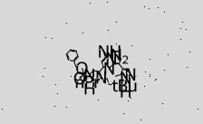 CCCN(CCC(C)(C)C)C(CNC(=O)OCc1ccccc1)c1cc(N)n2ncc(C3=CN(C)NC3C)c2n1